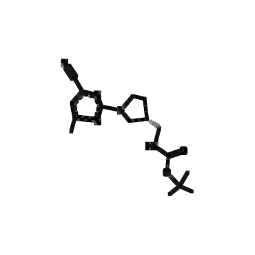 Cc1cc(C#N)nc(N2CC[C@H](CNC(=O)OC(C)(C)C)C2)n1